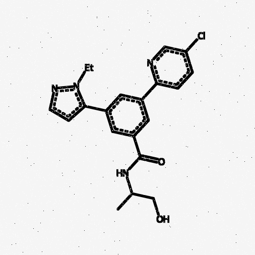 CCn1nccc1-c1cc(C(=O)NC(C)CO)cc(-c2ccc(Cl)cn2)c1